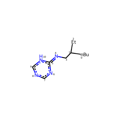 CCCCC(CC)CN=c1ncnc[nH]1